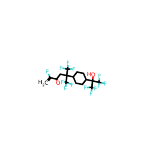 C=C(F)C(=O)CC(C1CCC(C(O)(C(F)(F)F)C(F)(F)F)CC1)(C(F)(F)F)C(F)(F)F